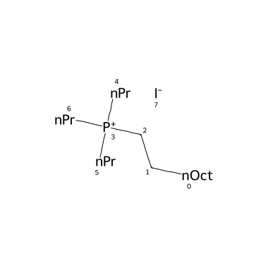 CCCCCCCCCC[P+](CCC)(CCC)CCC.[I-]